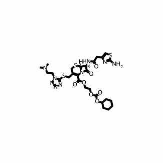 CN(C)CCn1nnnc1SCC1=C(C(=O)OCCOC(=O)OC2CCCCC2)N2C(=O)[C@@H](NC(=O)Cc3csc(N)n3)[C@@H]2SC1